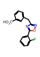 O=C(O)c1cccc(Cc2noc(-c3ccccc3F)n2)c1